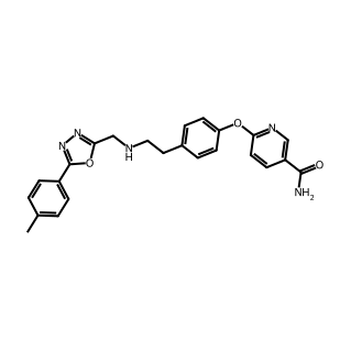 Cc1ccc(-c2nnc(CNCCc3ccc(Oc4ccc(C(N)=O)cn4)cc3)o2)cc1